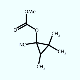 COC(=O)OC1(C#N)C(C)C1(C)C